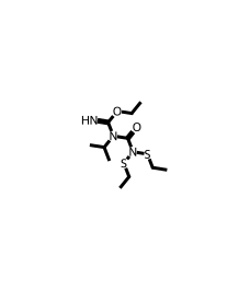 CCOC(=N)N(C(=O)N(SCC)SCC)C(C)C